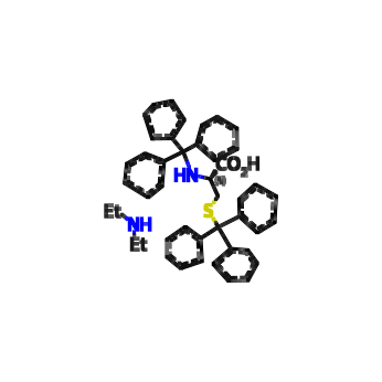 CCNCC.O=C(O)[C@@H](CSC(c1ccccc1)(c1ccccc1)c1ccccc1)NC(c1ccccc1)(c1ccccc1)c1ccccc1